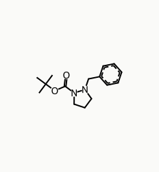 CC(C)(C)OC(=O)N1CCCN1Cc1ccccc1